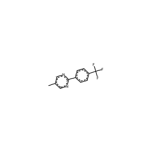 Cc1[c]nc(-c2ccc(C(F)(F)F)cc2)nc1